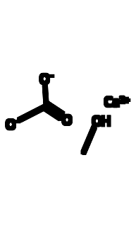 CO.O=C([O-])[O-].[Ca+2]